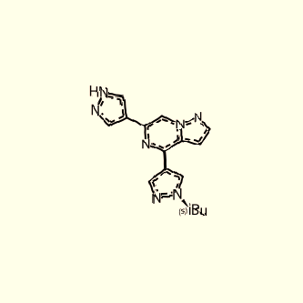 CC[C@H](C)n1cc(-c2nc(-c3cn[nH]c3)cn3nccc23)cn1